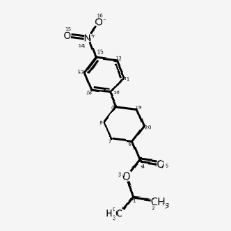 CC(C)OC(=O)C1CCC(c2ccc([N+](=O)[O-])cc2)CC1